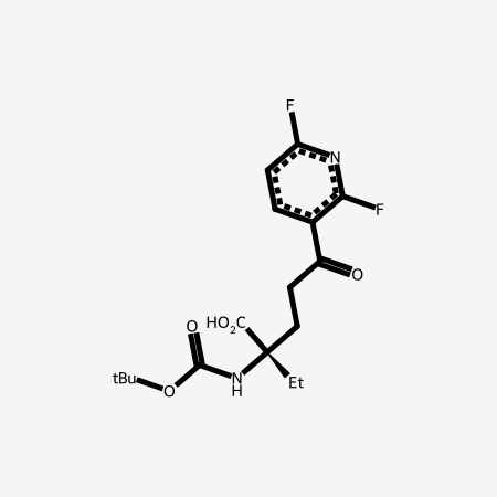 CC[C@@](CCC(=O)c1ccc(F)nc1F)(NC(=O)OC(C)(C)C)C(=O)O